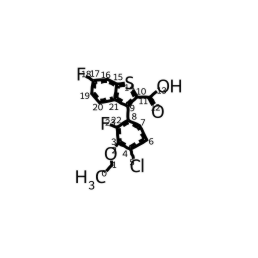 CCOc1c(Cl)ccc(-c2c(C(=O)O)sc3cc(F)ccc23)c1F